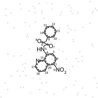 O=[N+]([O-])c1ccc(NS(=O)(=O)c2ccccc2)c2ncccc12